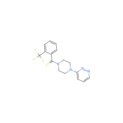 FC(F)(F)c1ccccc1C(=S)N1CCN(c2cccnn2)CC1